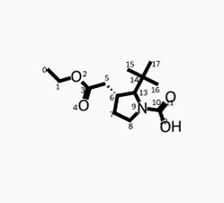 CCOC(=O)C[C@H]1CCN(C(=O)O)C1C(C)(C)C